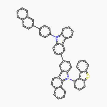 c1ccc2cc(-c3ccc(-n4c5ccccc5c5cc(-c6ccc7c(c6)c6ccc8ccccc8c6n7-c6cccc7sc8ccccc8c67)ccc54)cc3)ccc2c1